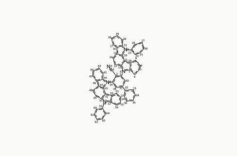 N#Cc1c(-n2c3ccccc3c3c2ccc2c4ccccc4n(-c4ccccc4)c23)cc(-c2ccccc2)cc1-n1c2ccccc2c2ccc3c(c4ccccc4n3-c3ccccc3)c21